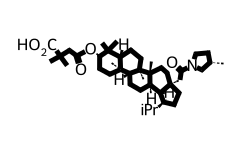 CC(C)[C@@H]1CC[C@]2(CC(=O)N3CC[C@H](C)C3)CC[C@]3(C)[C@H](CC[C@@H]4[C@@]5(C)CC[C@H](OC(=O)CC(C)(C)C(=O)O)C(C)(C)[C@@H]5CC[C@]43C)[C@@H]12